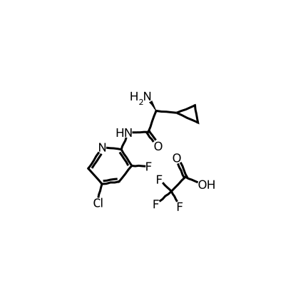 N[C@H](C(=O)Nc1ncc(Cl)cc1F)C1CC1.O=C(O)C(F)(F)F